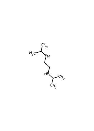 CC(C)PCCPC(C)C